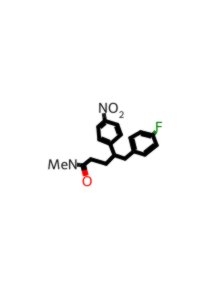 CNC(=O)CCC(Cc1ccc(F)cc1)c1ccc([N+](=O)[O-])cc1